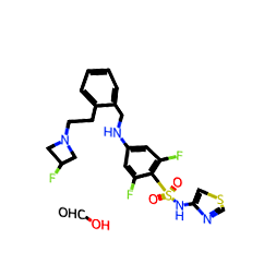 O=CO.O=S(=O)(Nc1cscn1)c1c(F)cc(NCc2ccccc2CCN2CC(F)C2)cc1F